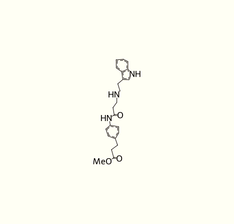 COC(=O)CCc1ccc(NC(=O)CCNCCc2c[nH]c3ccccc23)cc1